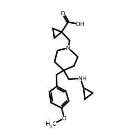 COc1ccc(CC2(CNC3CC3)CCN(CC3(C(=O)O)CC3)CC2)cc1